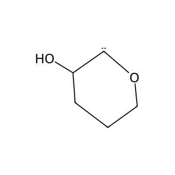 OC1[C]OCCC1